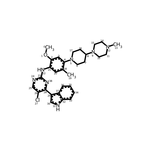 COc1cc(N2CCC(N3CCN(C)CC3)CC2)c(C)cc1Nc1ncc(Cl)c(-c2c[nH]c3ccccc23)n1